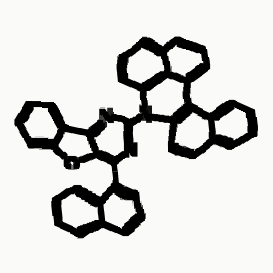 c1ccc2c(-c3nc(N4c5ccc6ccccc6c5-c5cccc6cccc4c56)nc4c3oc3ccccc34)cccc2c1